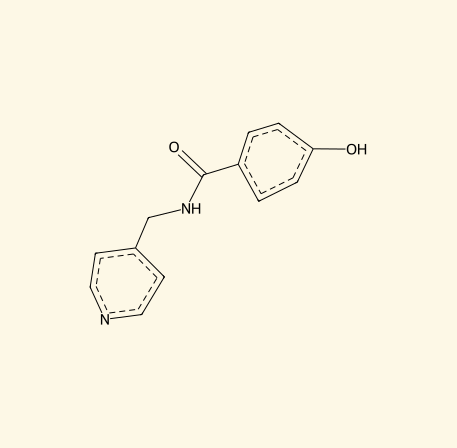 O=C(NCc1ccncc1)c1ccc(O)cc1